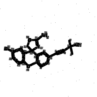 CC(C)(O)C#Cc1ccc2c(c1)C1(COC(N)=N1)c1cc(Br)ccc1O2